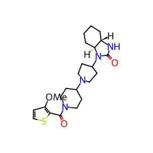 COc1ccsc1C(=O)N1CCC(N2CCC(N3C(=O)N[C@H]4CCCC[C@@H]43)CC2)CC1